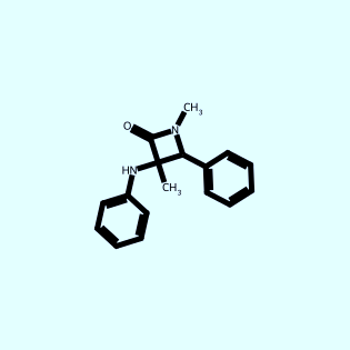 CN1C(=O)C(C)(Nc2ccccc2)C1c1ccccc1